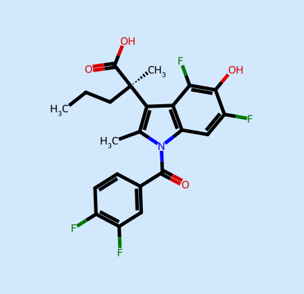 CCC[C@@](C)(C(=O)O)c1c(C)n(C(=O)c2ccc(F)c(F)c2)c2cc(F)c(O)c(F)c12